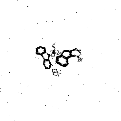 [Cl-].[Cl-].[S]=[Zr+2]([c]1cccc2c1C=C1CSC(Br)=C12)[CH]1c2ccccc2-c2ccccc21